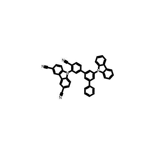 N#Cc1ccc2c(c1)c1cc(C#N)ccc1n2-c1cc(-c2cc(-c3ccccc3)cc(-n3c4ccccc4c4ccccc43)c2)ccc1C#N